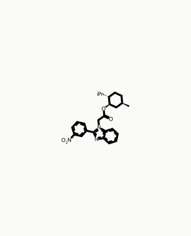 CC(C)[C@@H]1CC[C@@H](C)C[C@H]1OC(=O)Cn1c(-c2cccc([N+](=O)[O-])c2)nc2ccccc21